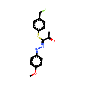 COc1ccc(NN=C(Sc2ccc(CF)cc2)C(C)=O)cc1